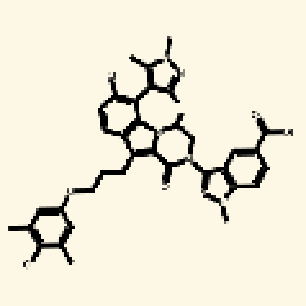 Cc1cc(OCCCc2c3n(c4c(-c5c(C)nn(C)c5C)c(Cl)ccc24)C(C)CN(c2nn(C)c4ccc(C(=O)O)cc24)C3=O)cc(C)c1Cl